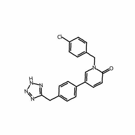 O=c1ccc(-c2ccc(Cc3nn[nH]n3)cc2)cn1Cc1ccc(Cl)cc1